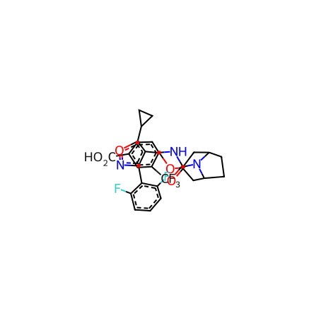 O=C(O)c1ccc(NC(=O)N2C3CCC2CC(OCc2c(-c4c(F)cccc4F)noc2C2CC2)C3)c(C(F)(F)F)c1